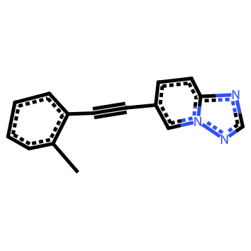 Cc1ccccc1C#Cc1ccc2ncnn2c1